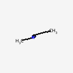 CCCCCCCCCCCCCc1cc[n+](CCCCCCCCC)cc1